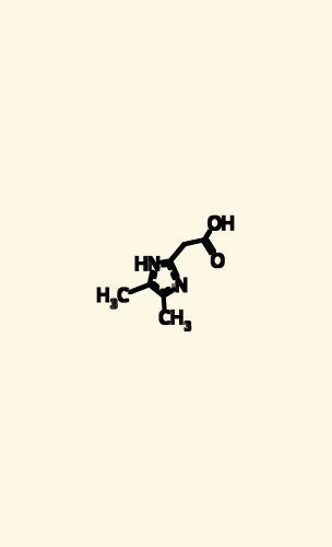 Cc1nc(CC(=O)O)[nH]c1C